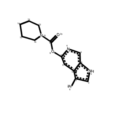 CC(C)c1c[nH]c2cnc(OC(=O)N3CCCCC3)cc12